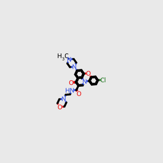 CN1CCN(c2cc3c4c(c2)c(=O)c(C(=O)NCCN2CCOCC2)cn4-c2ccc(Cl)cc2O3)CC1